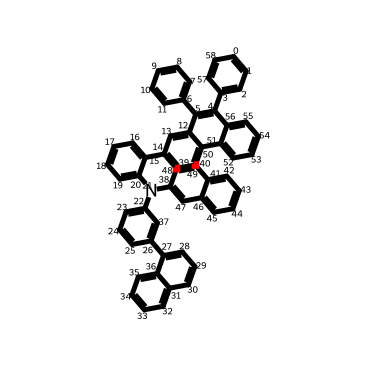 c1ccc(-c2c(-c3ccccc3)c3cc(-c4ccccc4N(c4cccc(-c5cccc6ccccc56)c4)c4ccc5ccccc5c4)ccc3c3ccccc23)cc1